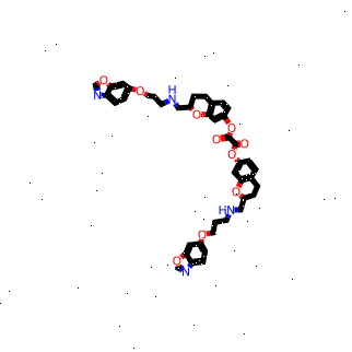 O=C(Oc1ccc2c(c1)OC(CNCCCOc1ccc3ncoc3c1)CC2)C(=O)Oc1ccc2c(c1)OC(CNCCCOc1ccc3ncoc3c1)CC2